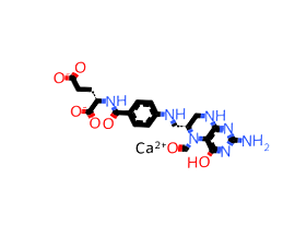 Nc1nc(O)c2c(n1)NC[C@@H](CNc1ccc(C(=O)N[C@@H](CCC(=O)[O-])C(=O)[O-])cc1)N2C=O.[Ca+2]